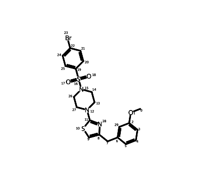 COc1cccc(Cc2csc(N3CCN(S(=O)(=O)c4ccc(Br)cc4)CC3)n2)c1